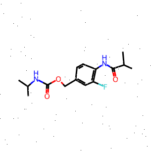 CC(C)NC(=O)OCc1ccc(NC(=O)C(C)C)c(F)c1